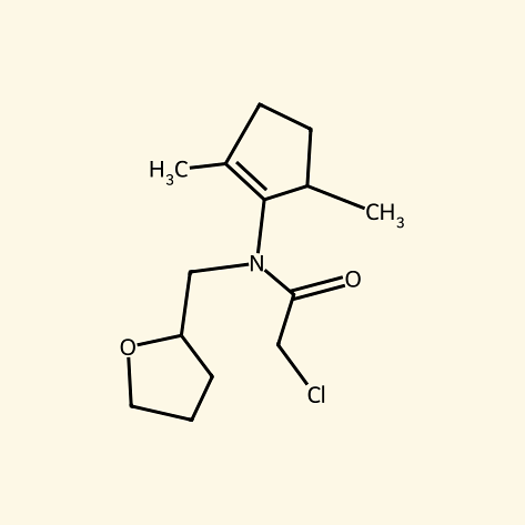 CC1=C(N(CC2CCCO2)C(=O)CCl)C(C)CC1